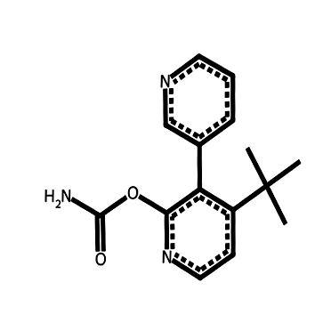 CC(C)(C)c1ccnc(OC(N)=O)c1-c1cccnc1